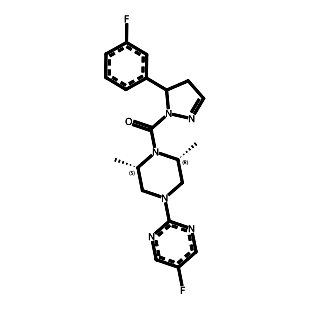 C[C@@H]1CN(c2ncc(F)cn2)C[C@H](C)N1C(=O)N1N=CCC1c1cccc(F)c1